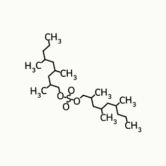 CCCC(C)CC(C)CC(C)COS(=O)(=O)OCC(C)CC(C)CC(C)CCC